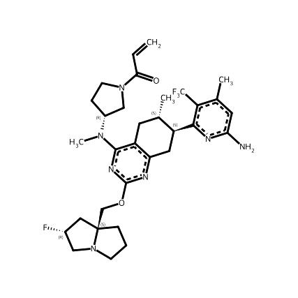 C=CC(=O)N1CC[C@@H](N(C)c2nc(OC[C@@]34CCCN3C[C@H](F)C4)nc3c2C[C@H](C)[C@@H](c2nc(N)cc(C)c2C(F)(F)F)C3)C1